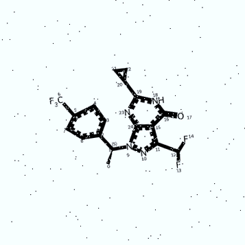 C[C@@H](c1ccc(C(F)(F)F)cc1)n1nc(C(F)F)c2c(=O)[nH]c(C3CC3)nc21